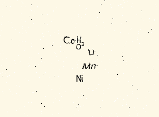 O.[Co].[Li].[Mn].[Ni]